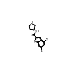 O=C(N[C@H]1CCNC1)c1cc2c(Cl)cc(Cl)cc2s1